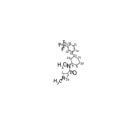 CN1CC(C(=O)N(C)C2CCCC(c3cccc(C(F)(F)F)c3)C2)C1